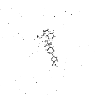 Cc1ncc(-c2ccc(S(=O)(=O)Nc3cccc4cnn(C)c34)cn2)s1